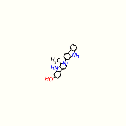 Cc1c2[nH]c3cc(O)ccc3c2cc[n+]1-c1ccc2c(c1)[nH]c1ccccc12